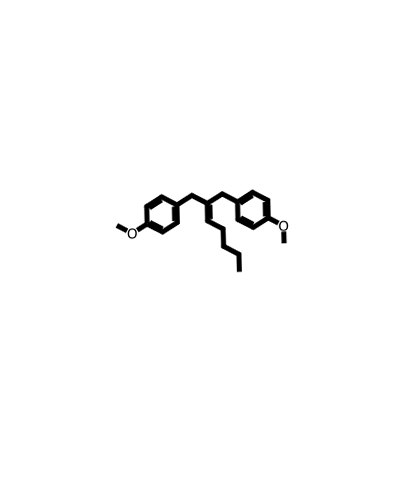 CCCCC=C(Cc1ccc(OC)cc1)Cc1ccc(OC)cc1